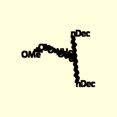 CCCCCCCCCCCCCCCCCCC(CCCCCCCCCCCCCCCCCC)OC(=O)CCONCCOCC(C)(C)OCC(C)(C)OC